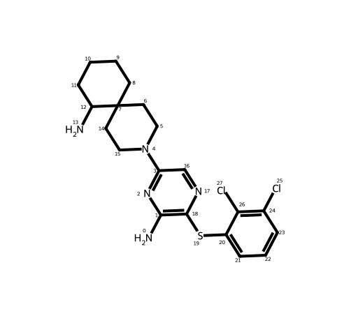 Nc1nc(N2CCC3(CCCCC3N)CC2)cnc1Sc1cccc(Cl)c1Cl